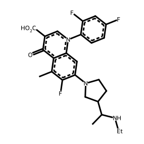 CCNC(C)C1CCN(c2cc3c(c(C)c2F)c(=O)c(C(=O)O)cn3-c2ccc(F)cc2F)C1